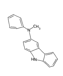 CN(c1ccccc1)c1ccc2[nH]c3ccccc3c2c1